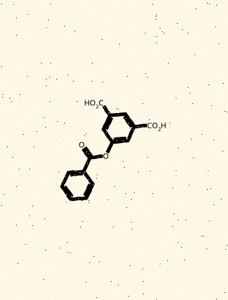 O=C(O)c1cc(OC(=O)c2ccccc2)cc(C(=O)O)c1